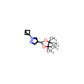 CC1(C)OB(c2cnn(C34CC(C3)C4)c2)OC1(C)C